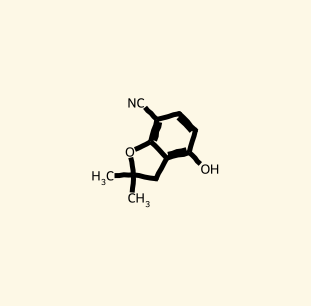 CC1(C)Cc2c(O)ccc(C#N)c2O1